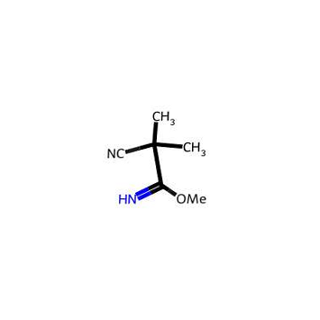 COC(=N)C(C)(C)C#N